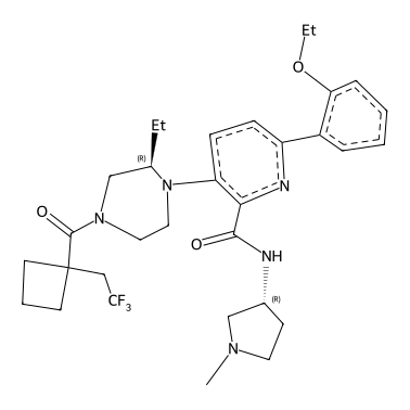 CCOc1ccccc1-c1ccc(N2CCN(C(=O)C3(CC(F)(F)F)CCC3)C[C@H]2CC)c(C(=O)N[C@@H]2CCN(C)C2)n1